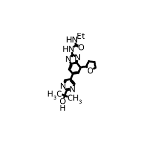 CCNC(=O)NC1=NC2=CC(c3cnc(C(C)(C)O)nc3)=CC(C3CCCO3)C2=N1